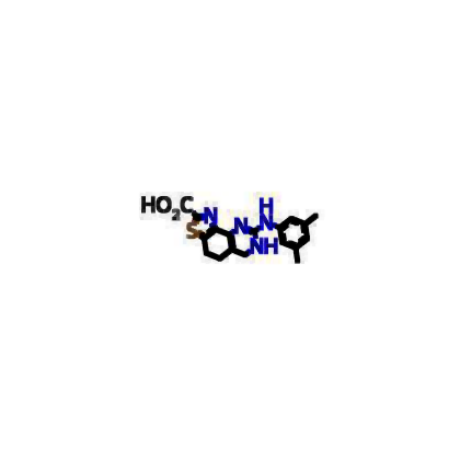 Cc1cc(C)cc(NC2=NC3=C(CCc4sc(C(=O)O)nc43)CN2)c1